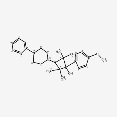 COc1ccc(C2(O)C(C)(C)C(N3CCN(c4ccccn4)CC3)C2(C)C)cc1